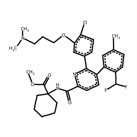 COC(=O)C1(NC(=O)c2ccc(-c3cc(C)ccc3C(F)F)c(-c3ccc(Cl)c(OCCCN(C)C)c3)n2)CCCCC1